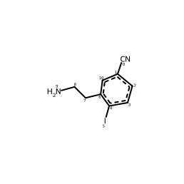 N#Cc1ccc(I)c(CCN)c1